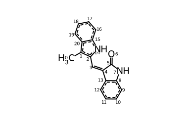 Cc1c(/C=C2\C(=O)Nc3ccccc32)[nH]c2ccccc12